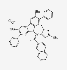 C/[C](c1ccc2ccccc2c1)=[Zr+2](/[C]1=CC(C(C)(C)C)=CC1C)[CH]1c2cc(-c3ccccc3)c(C(C)(C)C)cc2-c2cc(C(C)(C)C)c(-c3ccccc3)cc21.[Cl-].[Cl-]